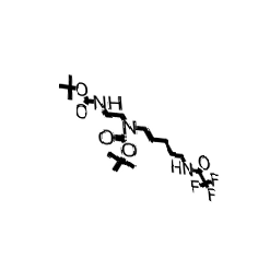 CC(C)(C)OC(=O)NCCN(CCCCCNC(=O)C(F)(F)F)C(=O)OC(C)(C)C